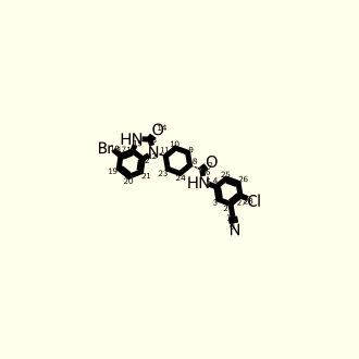 N#Cc1cc(NC(=O)[C@H]2CC[C@@H](n3c(=O)[nH]c4c(Br)cccc43)CC2)ccc1Cl